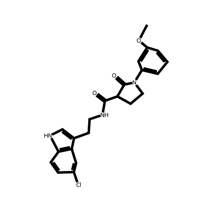 COc1cccc(N2CCC(C(=O)NCCc3c[nH]c4ccc(Cl)cc34)C2=O)c1